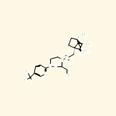 CC1(C)[C@]2(C)CC[C@@]1(CS(=O)(=O)N1CCN(c3ccc(C(F)(F)F)cn3)CC1CCl)C(=O)C2